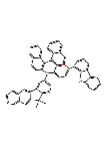 CC1(C)c2ccc(N(c3ccc(-c4cccc5c4sc4ccccc45)cc3)c3ccc4ccccc4c3-c3cccc4ccccc34)cc2-c2cc3ccccc3cc21